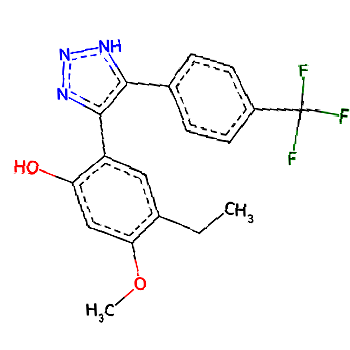 CCc1cc(-c2nn[nH]c2-c2ccc(C(F)(F)F)cc2)c(O)cc1OC